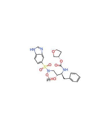 CC(C)ON(C[C@@H](O)[C@H](Cc1ccccc1)NC(=O)O[C@H]1CCOC1)S(=O)(=O)c1ccc2[nH]cnc2c1